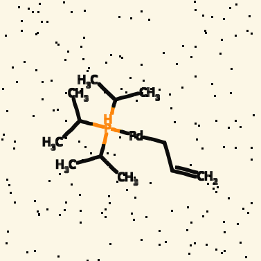 C=C[CH2][Pd][PH](C(C)C)(C(C)C)C(C)C